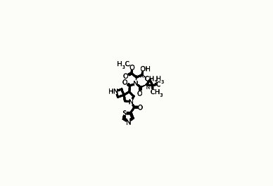 COC(=O)[C@H]([C@@H](C)O)N(C(=O)C1CN(C(=O)c2cncs2)CC12CNC2)C(=O)[C@H]1CC1(C)C